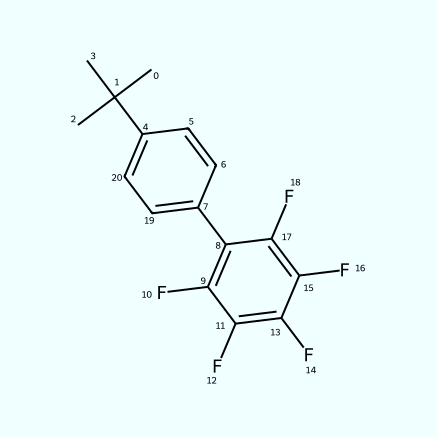 CC(C)(C)c1ccc(-c2c(F)c(F)c(F)c(F)c2F)cc1